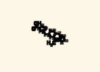 COc1cc(Cn2cc(C(=O)O)cn2)ccc1Cn1cccn1